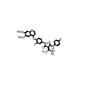 CCN/C(C)=C(\C(=O)Nc1ccc(F)cc1)C(=O)Nc1ccc(Oc2ccnc3cc(OC)c(OC)cc23)c(F)c1